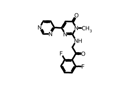 Cn1c(NCC(=O)c2c(F)cccc2F)nc(-c2ccncn2)cc1=O